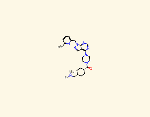 CCCc1cccc(Cn2ncc3c(N4CCN(C(=O)[C@H]5CC[C@H](CN(CC)C(C)(C)C)CC5)CC4)ncnc32)n1